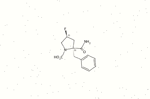 NC(=O)[C@]1(Cc2ccccc2)C[C@H](F)CN1C(=O)O